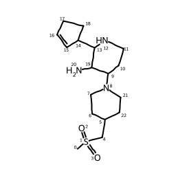 CS(=O)(=O)CC1CCN(C2CCNC(C3C=CCC3)C2N)CC1